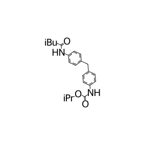 CCC(C)C(=O)Nc1ccc(Cc2ccc(NC(=O)OC(C)C)cc2)cc1